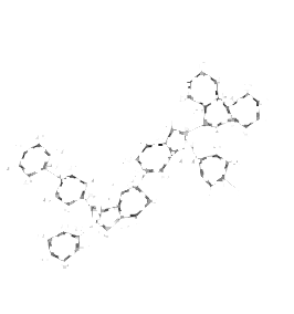 Cc1ccc(-n2c(-c3cc4ccccc4c4ccccc34)cc3ccc(-c4ccc5cc(-c6ccccc6)n(-c6ccc(-c7ccccc7)cc6)c5c4)cc32)cc1